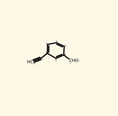 C#Cc1cccc([C]=O)c1